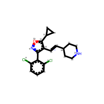 Clc1cccc(Cl)c1-c1noc(C2CC2)c1/C=C/C1CCNCC1